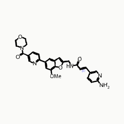 COc1cc(-c2ccc(C(=O)N3CCOCC3)cn2)cc2cc(CNC(=O)/C=C/c3ccc(N)nc3)oc12